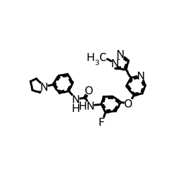 Cn1cc(-c2cc(Oc3ccc(NC(=O)Nc4cccc(N5CCCC5)c4)c(F)c3)ccn2)cn1